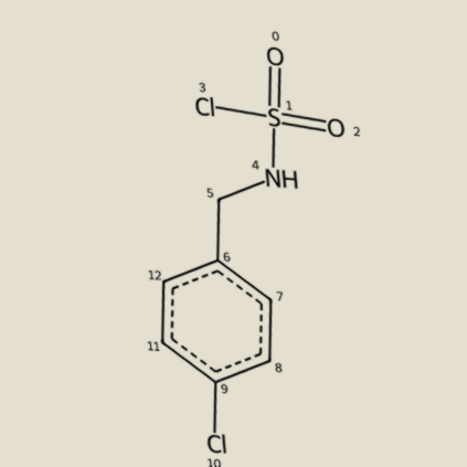 O=S(=O)(Cl)NCc1ccc(Cl)cc1